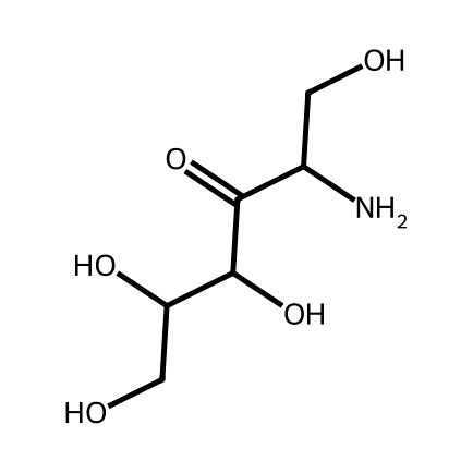 NC(CO)C(=O)C(O)C(O)CO